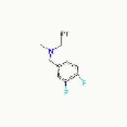 CC(C)CN(C)Cc1ccc(F)c(F)c1